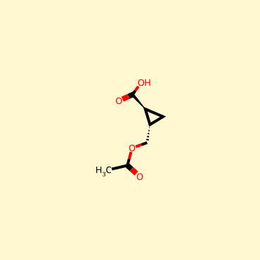 CC(=O)OC[C@H]1C[C@@H]1C(=O)O